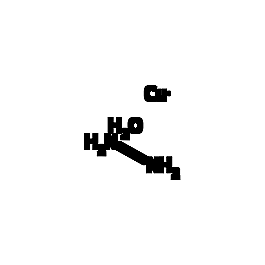 NN.O.[Cu]